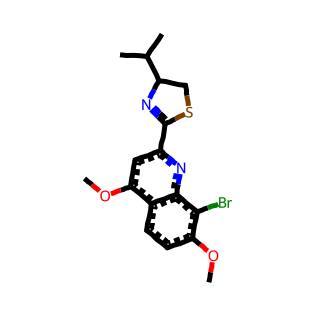 COc1ccc2c(OC)cc(C3=NC(C(C)C)CS3)nc2c1Br